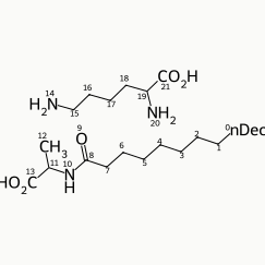 CCCCCCCCCCCCCCCCCC(=O)NC(C)C(=O)O.NCCCCC(N)C(=O)O